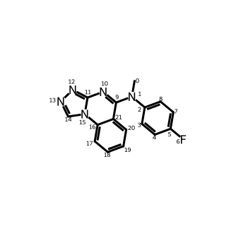 CN(c1ccc(F)cc1)c1nc2nncn2c2ccccc12